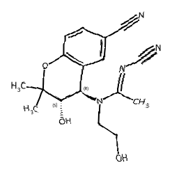 CC(=NC#N)N(CCO)[C@@H]1c2cc(C#N)ccc2OC(C)(C)[C@H]1O